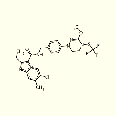 CCc1nc2cc(C)c(Cl)cn2c1C(=O)NCc1ccc(N2CCN(SC(F)(F)F)C(OC)=N2)cc1